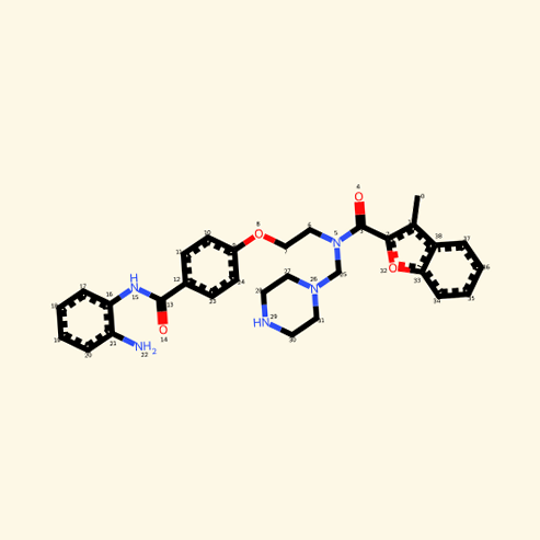 Cc1c(C(=O)N(CCOc2ccc(C(=O)Nc3ccccc3N)cc2)CN2CCNCC2)oc2ccccc12